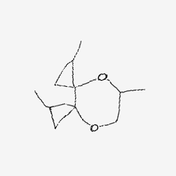 CC1COC2(CC2C)C2(CC2C)O1